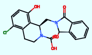 O=C1c2ccccc2C(O)N1C[C@@H]1c2c(O)ccc(Cl)c2CCN1C(=O)O